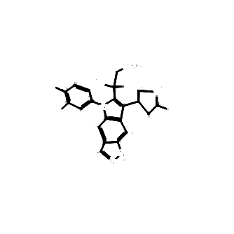 COCC(C)(C)c1c(C2COC(C(=O)O)C2)c2cc3[nH]ncc3cc2n1-c1ccc(F)c(C)c1